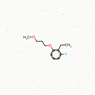 CCc1c(F)cccc1OCCCOC